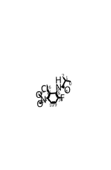 CC(C)C(=O)Nc1c(F)ccc([N+](=O)[O-])c1Cl